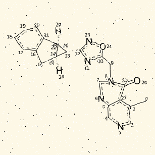 Cc1cncc2ncn(Cc3nc([C@@H]4[C@H]5Cc6ccccc6[C@H]54)no3)c(=O)c12